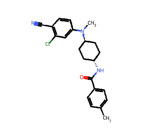 Cc1ccc(C(=O)N[C@H]2CC[C@H](N(C)c3ccc(C#N)c(Cl)c3)CC2)cc1